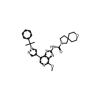 COc1ncc(-c2cnn(C(C)(C)c3ccccc3)c2)c2sc(NC(=O)N3CCC4(CCOCC4)C3)nc12